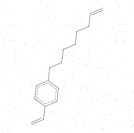 C=CCCCCCCc1ccc(C=C)cc1